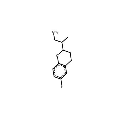 CC(CN)C1CCc2cc(F)ccc2O1